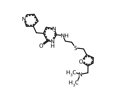 CN(C)Cc1ccc(CSCCNc2ncc(Cc3cccnc3)c(=O)[nH]2)o1